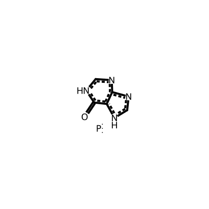 O=c1[nH]cnc2nc[nH]c12.[P]